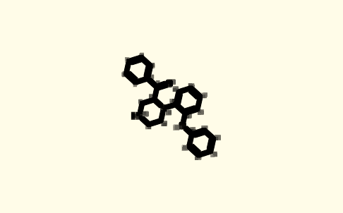 O=C(c1ccccc1)C1CNCCN1c1ccccc1Oc1ccccc1